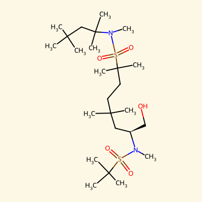 CN([C@H](CO)CC(C)(C)CCC(C)(C)S(=O)(=O)N(C)C(C)(C)CC(C)(C)C)S(=O)(=O)C(C)(C)C